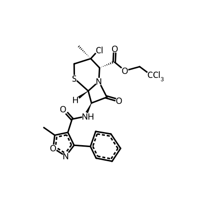 Cc1onc(-c2ccccc2)c1C(=O)N[C@@H]1C(=O)N2[C@@H](C(=O)OCC(Cl)(Cl)Cl)[C@](C)(Cl)CS[C@@H]12